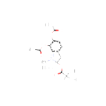 CCCC(=O)Oc1ccc(C[C@](NC(C)CC)(OC(=O)C(C)(C)CC)C(=O)O)cc1OC(=O)CCC